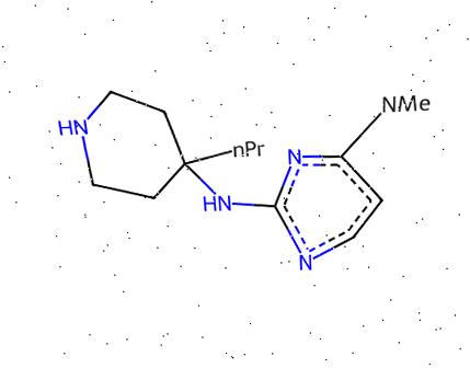 CCCC1(Nc2nccc(NC)n2)CCNCC1